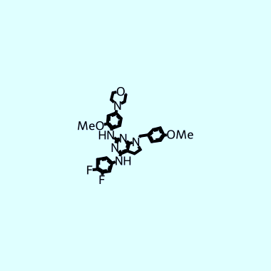 COc1ccc(CN2CCc3c(Nc4ccc(F)c(F)c4)nc(Nc4ccc(N5CCOCC5)cc4OC)nc32)cc1